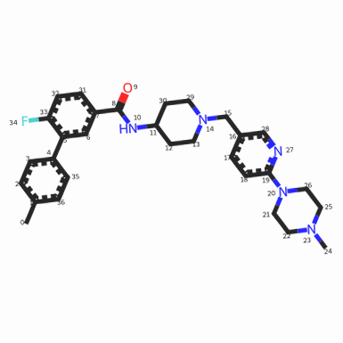 Cc1ccc(-c2cc(C(=O)NC3CCN(Cc4ccc(N5CCN(C)CC5)nc4)CC3)ccc2F)cc1